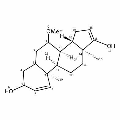 COC1CC2CC(O)C=C[C@]2(C)[C@@H]2CC[C@]3(C)C(O)=CC[C@H]3[C@H]12